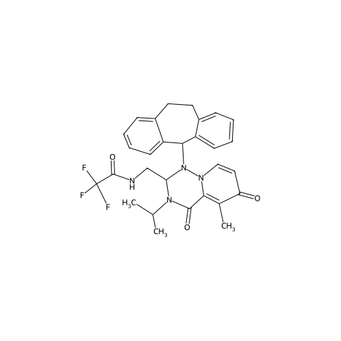 Cc1c2n(ccc1=O)N(C1c3ccccc3CCc3ccccc31)C(CNC(=O)C(F)(F)F)N(C(C)C)C2=O